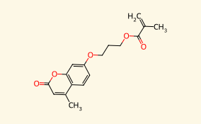 C=C(C)C(=O)OCCCOc1ccc2c(C)cc(=O)oc2c1